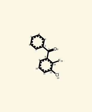 O=C(c1ccccc1)c1cccc(Cl)c1F